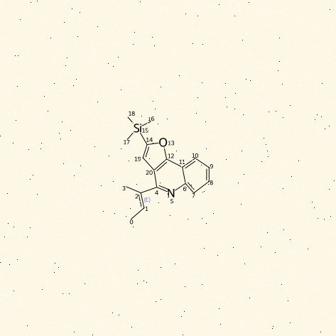 C/C=C(\C)c1nc2ccccc2c2oc([Si](C)(C)C)cc12